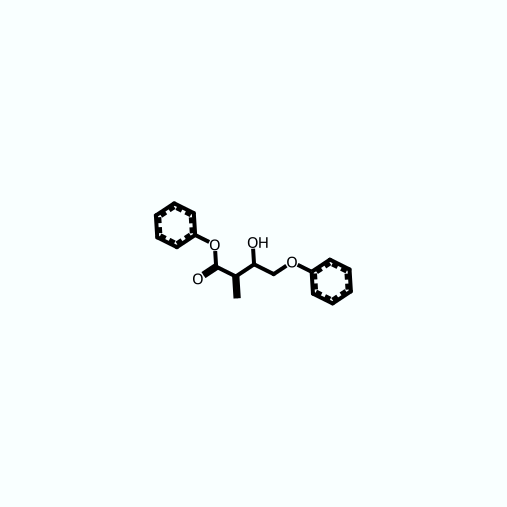 C=C(C(=O)Oc1ccccc1)C(O)COc1ccccc1